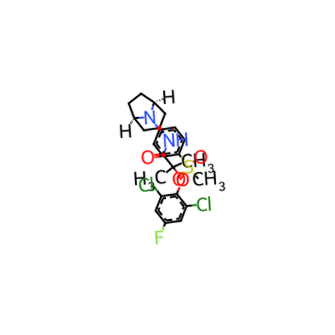 CC(C)(Oc1c(Cl)cc(F)cc1Cl)C(=O)N[C@H]1C[C@H]2CC[C@@H](C1)N2c1ccc(S(C)(=O)=O)cc1